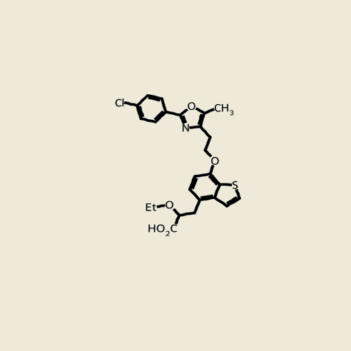 CCOC(Cc1ccc(OCCc2nc(-c3ccc(Cl)cc3)oc2C)c2sccc12)C(=O)O